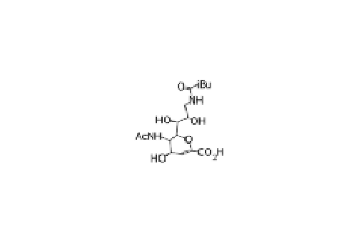 CCC(C)C(=O)NC[C@H](O)[C@H](O)C1OC(C(=O)O)=C[C@@H](O)C1NC(C)=O